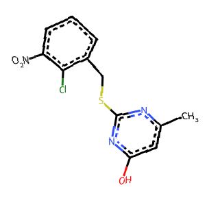 Cc1cc(O)nc(SCc2cccc([N+](=O)[O-])c2Cl)n1